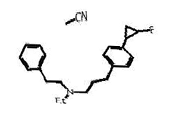 CC#N.CCN(CCCc1ccc(C2CC2F)cc1)CCc1ccccc1